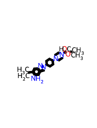 C=C(C)c1cc2nn(C3CCC(N4CCN(C(=O)OC(C)(C)C)CC4)CC3)cc2cc1N